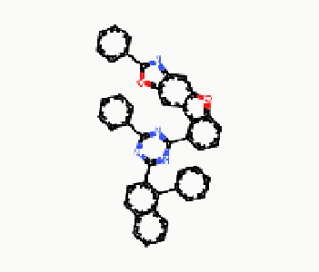 c1ccc(-c2nc(-c3ccc4ccccc4c3-c3ccccc3)nc(-c3cccc4oc5cc6nc(-c7ccccc7)oc6cc5c34)n2)cc1